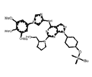 COc1cc(-n2cnc(Nc3nc(N4CCCC4CO)nc4c3cnn4C3CCC(O[Si](C)(C)C(C)(C)C)CC3)c2)cc(OC)c1OC